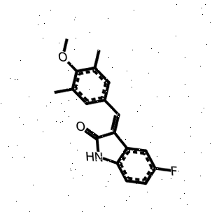 COc1c(C)cc(/C=C2\C(=O)Nc3ccc(F)cc32)cc1C